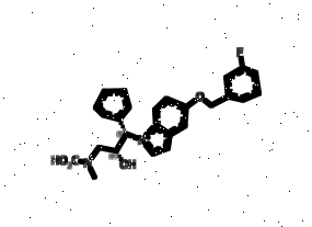 CN(C[C@@H](O)[C@H](c1ccccc1)n1ccc2cc(OCc3cccc(F)c3)ccc21)C(=O)O